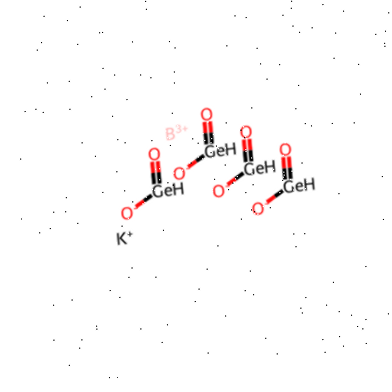 [B+3].[K+].[O]=[GeH][O-].[O]=[GeH][O-].[O]=[GeH][O-].[O]=[GeH][O-]